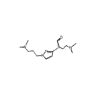 CN(C)CCCn1ccc(N(C=O)CCN(C)C)n1